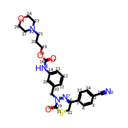 N#Cc1ccc(C2=NN(Cc3cccc(NC(=O)OCCCN4CCOCC4)c3)C(=O)SC2)cc1